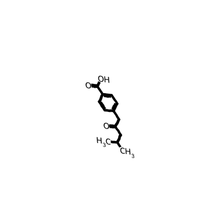 CC(C)CC(=O)Cc1ccc(C(=O)O)cc1